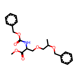 COC(=O)C(COCC(C)OCc1ccccc1)NC(=O)OCc1ccccc1